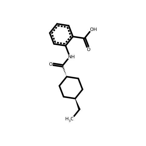 CC[C@H]1CC[C@H](C(=O)Nc2ccccc2C(=O)O)CC1